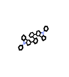 C1=CCC(C2=CC=C3C(C2)c2ccccc2N3c2ccccc2)C(c2ccccc2C2=CC3c4ccccc4N(c4ccccc4)C3C=C2)=C1